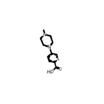 CN1CCN(c2ccc(C(=O)O)nc2)CC1